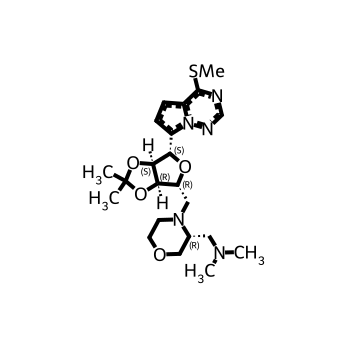 CSc1ncnn2c([C@@H]3O[C@H](CN4CCOC[C@H]4CN(C)C)[C@H]4OC(C)(C)O[C@H]43)ccc12